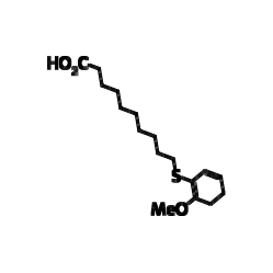 COC1=C(SCCCCCCCCCC(=O)O)C=CCC1